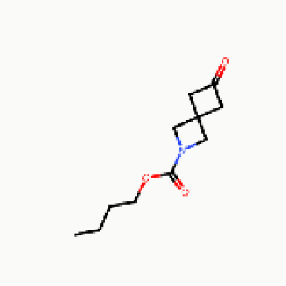 CCCCOC(=O)N1CC2(CC(=O)C2)C1